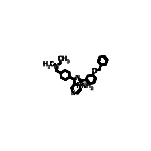 CCN(C)CC1CCC(C2=C3C=NC=C[N+]3(N)C(c3cccc(OCc4ccccc4)c3)=N2)CC1